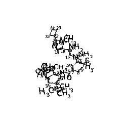 COc1c(NC(=O)c2ccc(C)c(N(N)/C=C(\N)c3cnc(C4CCC4)n3C)c2)cc(C(C)(C)C)cc1NS(C)(=O)=O